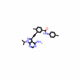 Cc1ccc(NC(=O)c2ccc(C)c(C#Cc3nn(C(C)C)c4ncnc(N)c34)c2)cc1